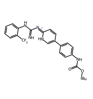 CC(C)(C)OC(=O)Nc1ccc(-c2cc/c(=N/C(=N)Nc3ccccc3C(F)(F)F)[nH]c2)cc1